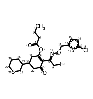 CCCC(=O)OC1=C(C(CI)=NOCc2ccc(Cl)s2)C(=O)CC(C2CCCSC2)C1